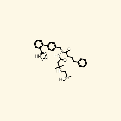 C[C@@H](O)CNC(C)(C)CC(=O)NN(Cc1ccc(-c2ccccc2-c2nnn[nH]2)cc1)C(=O)CCCc1ccccc1